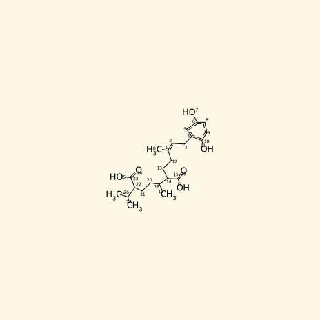 CC(=CCc1cc(O)ccc1O)CCC(C(=O)O)C(C)CCC(C(=O)O)C(C)C